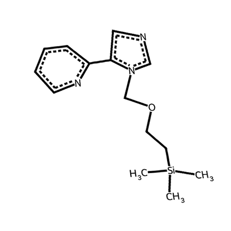 C[Si](C)(C)CCOCn1cncc1-c1ccccn1